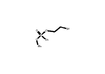 CCC(C)OP(=O)(CC)OCCS